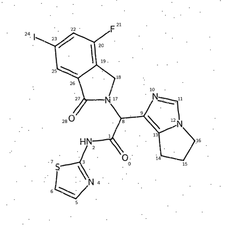 O=C(Nc1nccs1)C(c1ncn2c1CCC2)N1Cc2c(F)cc(I)cc2C1=O